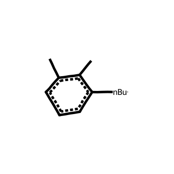 CCC[CH]c1cccc(C)c1C